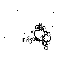 C=C[C@H]1C[C@H](OCC(=O)OC(C)C)[C@@H]2CC[C@H]2CN2Cc3ccc(Cl)c(F)c3CCCCOc3ccc(cc32)C(=O)NS(=O)(=O)[C@H](C)[C@H]1C